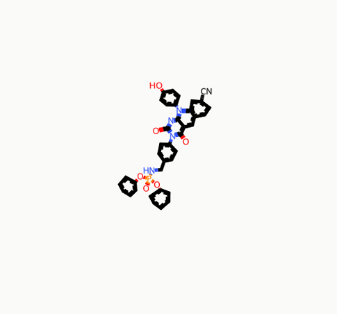 N#Cc1ccc2cc3c(=O)n(-c4ccc(CNP(=O)(Oc5ccccc5)Oc5ccccc5)cc4)c(=O)nc-3n(-c3ccc(O)cc3)c2c1